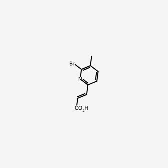 Cc1ccc(/C=C/C(=O)O)nc1Br